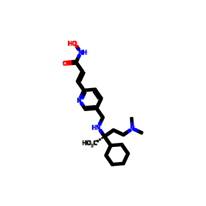 CN(C)CC[C@@](NCc1ccc(C=CC(=O)NO)nc1)(C(=O)O)C1CCCCC1